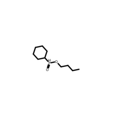 CCCCO[PH](=O)C1CCCCC1